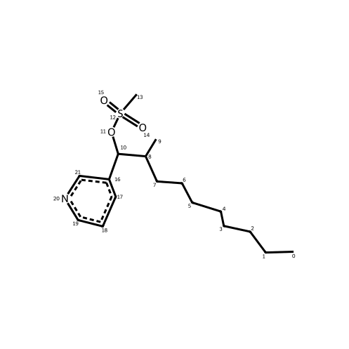 CCCCCCCCC(C)C(OS(C)(=O)=O)c1cccnc1